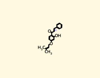 CC(C)=CCOc1ccc(C(=O)/C=C/c2ccccc2)c(O)c1